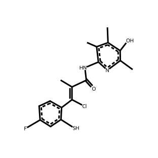 C/C(C(=O)Nc1nc(C)c(O)c(C)c1C)=C(/Cl)c1ccc(F)cc1S